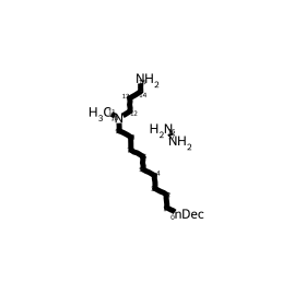 CCCCCCCCCCCCCCCCCCCN(C)CCCN.NN